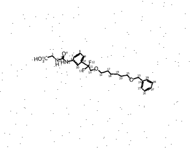 O=C(O)CNC(=O)Nc1cccc(C(F)(F)COCCCCCCOCc2ccccc2)c1